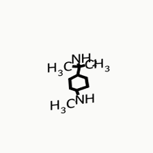 CNC1CCC(C(C)(C)N)CC1